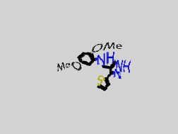 COc1ccc(OC)c(NCc2c[nH]nc2-c2cccs2)c1